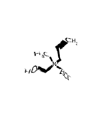 C=CC[N+](C)(CC)CO.[Cl-]